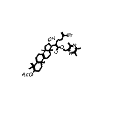 C=C(CCC(C(=O)OCc1nc(C)c(C)nc1C)C1[C@H](O)C[C@@]2(C)C3=C(CCC12C)C1(C)CCC(OC(C)=O)C(C)(C)C1CC3)C(C)C